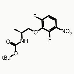 C[C@@H](COc1c(F)ccc([N+](=O)[O-])c1F)NC(=O)OC(C)(C)C